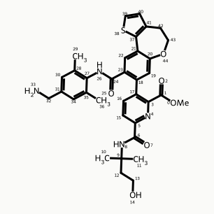 COC(=O)c1nc(C(=O)NC(C)(C)CCO)ccc1-c1cc2c(cc1C(=O)Nc1c(C)cc(CN)cc1C)-c1sccc1CCO2